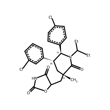 CCC(CC)N1C(=O)[C@](C)(CC2OC(=O)NC2=O)C[C@H](c2cccc(Cl)c2)[C@H]1c1ccc(Cl)cc1